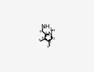 Cc1cn(C)c(CN)c1C